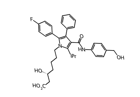 CC(C)c1c(C(=O)Nc2ccc(CO)cc2)c(-c2ccccc2)c(-c2ccc(F)cc2)n1CCCC[C@@H](O)CC(=O)O